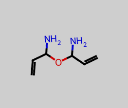 C=CC(N)OC(N)C=C